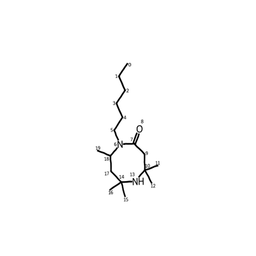 CCCCCCN1C(=O)CC(C)(C)NC(C)(C)CC1C